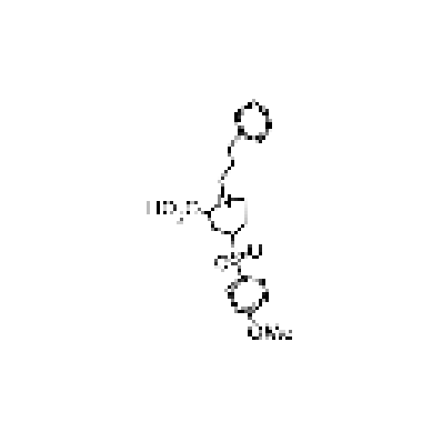 COc1ccc(S(=O)(=O)C2CCN(CCCc3ccccc3)C(C(=O)O)C2)cc1